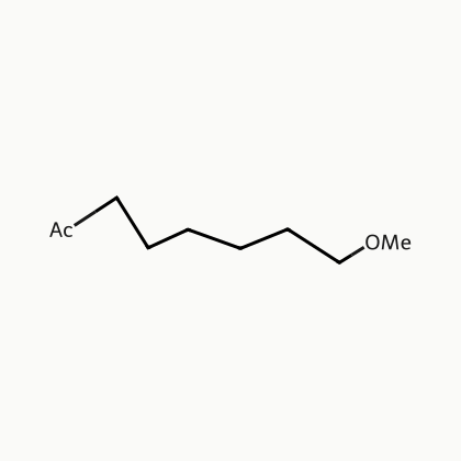 [CH2]C(=O)CCCCCCOC